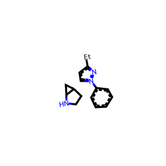 C1CC2CC2N1.CCc1ccn(-c2ccccc2)n1